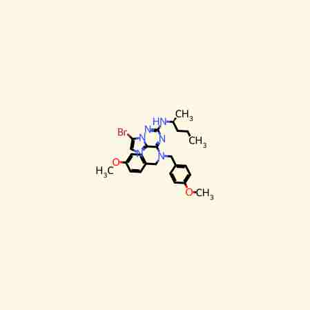 CCC[C@H](C)Nc1nc(N(Cc2ccc(OC)cc2)Cc2ccc(OC)cc2)c2ncc(Br)n2n1